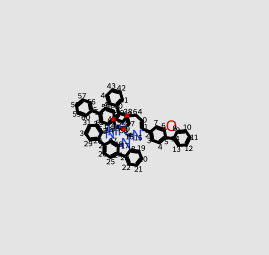 C1=C(c2ccc3c(c2)oc2ccccc23)\N=C(\n2c3ccccc3c3ccc4c5ccccc5n(-c5cccc(-c6ccccc6)c5)c4c32)NC(c2ccc(-c3ccccc3)cc2)CC/1